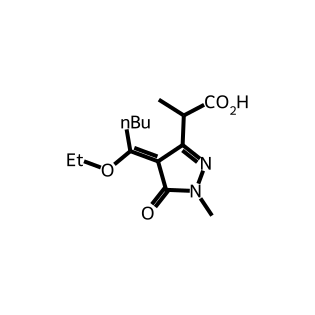 CCCCC(OCC)=C1C(=O)N(C)N=C1C(C)C(=O)O